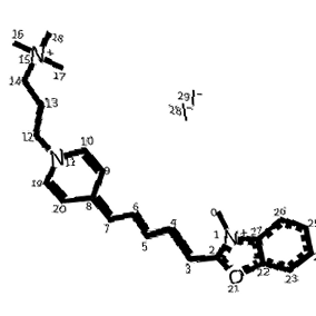 C[n+]1c(C=CC=CC=C2C=CN(CCC[N+](C)(C)C)C=C2)oc2ccccc21.[I-].[I-]